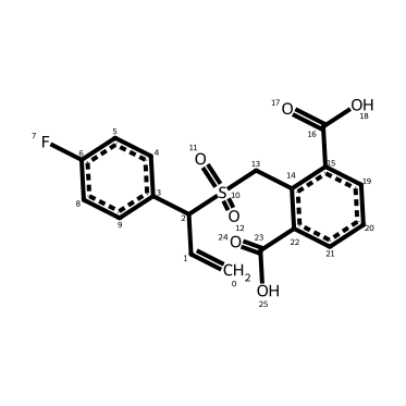 C=CC(c1ccc(F)cc1)S(=O)(=O)Cc1c(C(=O)O)cccc1C(=O)O